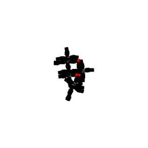 C#CC#C[Si](C#CC)(C#C[Si](C#CC)(C#C[Si](C#CC)(C#CC#C)[Si](C#CC)(C#CC)C#CC)[Si](C#CC)(C#CC)C#CC[Si](C#CC)(C#CC#C)[Si](C#CC)(C#CC)C#CC)[Si](C#CC)(C#CC)C#CC